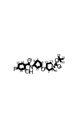 C[C@H]1C[C@@H](Oc2cccc(NC(=O)c3ccc(F)cc3Cl)c2)CCN1C(=O)OC(C)(C)C